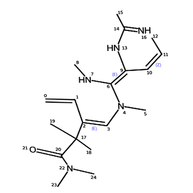 C=C/C(=C\N(C)/C(NC)=C(\C=C/C)NC(C)=N)C(C)(C)C(=O)N(C)C